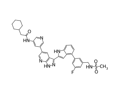 CS(=O)(=O)NCc1cc(F)cc(-c2cccc3[nH]c(-c4n[nH]c5ncc(-c6cncc(NC(=O)CC7CCCCC7)c6)cc45)cc23)c1